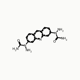 NC(=O)N(N)c1ccc2cc3ccc(N(N)C(N)=O)cc3nc2c1